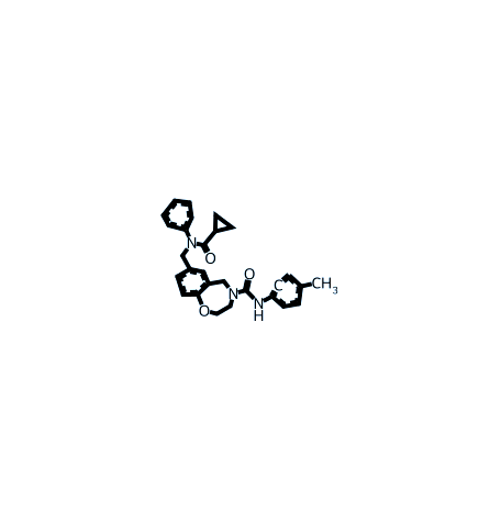 Cc1ccc(NC(=O)N2CCOc3ccc(CN(C(=O)C4CC4)c4ccccc4)cc3C2)cc1